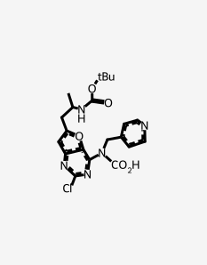 CC(Cc1cc2nc(Cl)nc(N(Cc3ccncc3)C(=O)O)c2o1)NC(=O)OC(C)(C)C